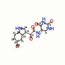 O=C(Nc1c[nH]c(=O)[nH]c1=O)C(=O)c1c[nH]c2ccc(Br)cc12